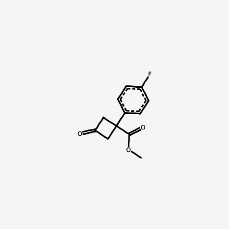 COC(=O)C1(c2ccc(F)cc2)CC(=O)C1